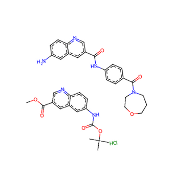 COC(=O)c1cnc2ccc(NC(=O)OC(C)(C)C)cc2c1.Cl.Nc1ccc2ncc(C(=O)Nc3ccc(C(=O)N4CCCOCC4)cc3)cc2c1